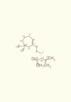 C=C(C)[C@@H](CCCC1=CCCCC(F)(F)C1)C(=O)O